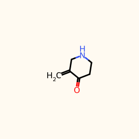 C=C1CNCCC1=O